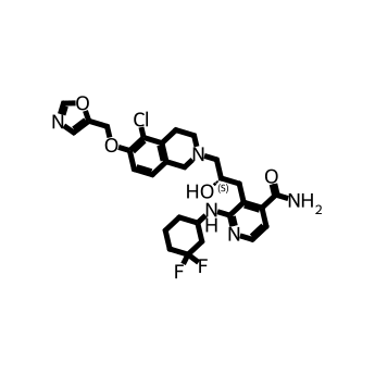 NC(=O)c1ccnc(NC2CCCC(F)(F)C2)c1C[C@H](O)CN1CCc2c(ccc(OCc3cnco3)c2Cl)C1